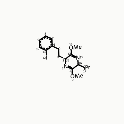 COC1=N[C@@H](CCc2ccccc2I)C(OC)=NC1C(C)C